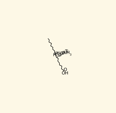 CCCCCCCCCCCCCCCCCC(=O)O.O.O.O.[AlH3].[Ti]